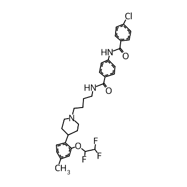 Cc1ccc(C2CCN(CCCCNC(=O)c3ccc(NC(=O)c4ccc(Cl)cc4)cc3)CC2)c(OC(F)C(F)F)c1